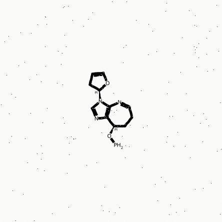 PO[C@@H]1CCC=Nc2c1ncn2[C@H]1CC=CO1